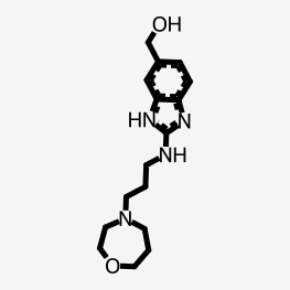 OCc1ccc2nc(NCCCN3CCCOCC3)[nH]c2c1